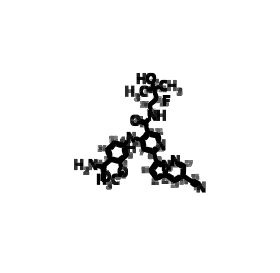 COc1cc(Nc2cc(-c3ccc4cc(C#N)cnn34)ncc2C(=O)NC[C@@H](F)C(C)(C)O)ccc1C(N)=O